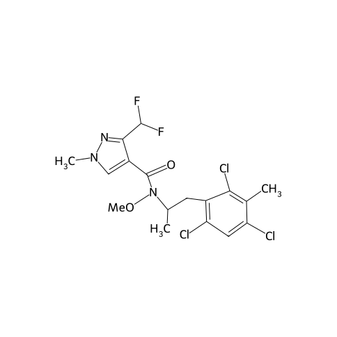 CON(C(=O)c1cn(C)nc1C(F)F)C(C)Cc1c(Cl)cc(Cl)c(C)c1Cl